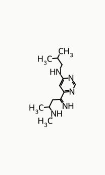 CNC(C)CC(=N)c1cc(NCC(C)C)ncn1